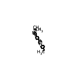 CCc1ccc(N2CCN(c3ccc(N4C=NN(C(C)CC)C4)cc3)CC2)cc1